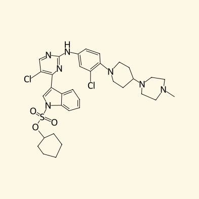 CN1CCN(C2CCN(c3ccc(Nc4ncc(Cl)c(-c5cn(S(=O)(=O)OC6CCCCC6)c6ccccc56)n4)cc3Cl)CC2)CC1